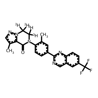 [2H]C1([2H])N(c2ccc(-c3ncc4cc(C(F)(F)F)ccc4n3)cc2C)C(=O)c2c(C)cnn2C1([2H])[2H]